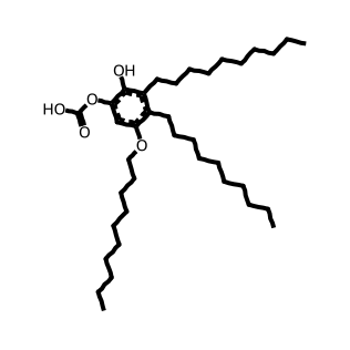 CCCCCCCCCCOc1cc(OC(=O)O)c(O)c(CCCCCCCCCC)c1CCCCCCCCCC